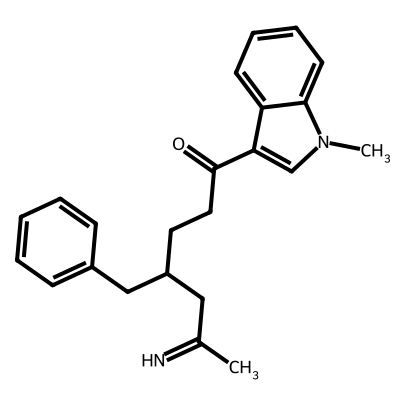 CC(=N)CC(CCC(=O)c1cn(C)c2ccccc12)Cc1ccccc1